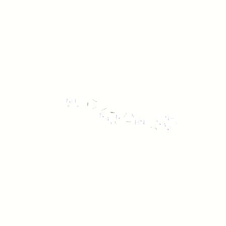 C[C@H](N)CCCc1cc(Cl)c(F)c(-c2cc3cn(-c4ccc(CNCC[C@H](CO)NC(=N)N)cc4)c(=O)nc3[nH]2)c1